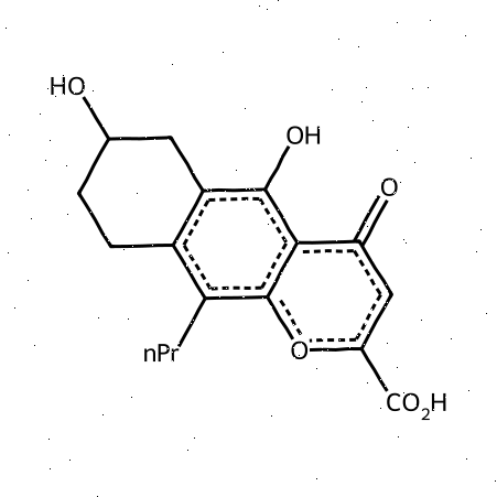 CCCc1c2c(c(O)c3c(=O)cc(C(=O)O)oc13)CC(O)CC2